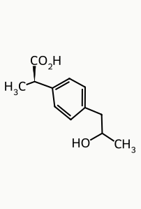 CC(O)Cc1ccc([C@@H](C)C(=O)O)cc1